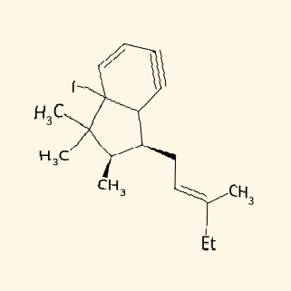 CC/C(C)=C/C[C@@H]1C2C#CC=CC2(I)C(C)(C)[C@@H]1C